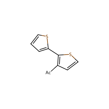 CC(=O)c1ccsc1-c1cccs1